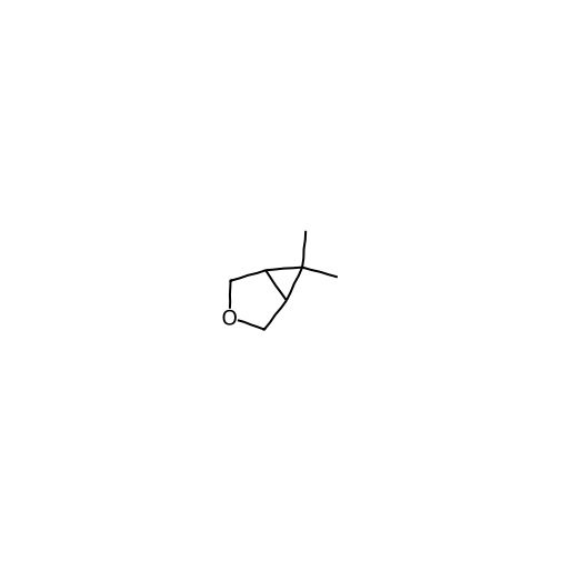 CC1(C)C2COCC21